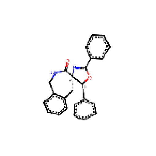 O=C1NCc2ccccc2C[C@@]12N=C(c1ccccc1)O[C@H]2c1ccccc1